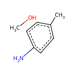 CO.Cc1ccc(N)cc1